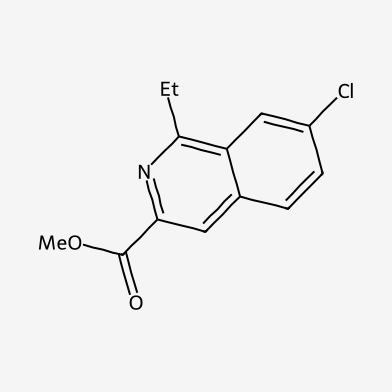 CCc1nc(C(=O)OC)cc2ccc(Cl)cc12